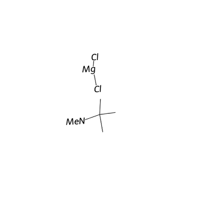 CNC(C)(C)C.[Cl][Mg][Cl]